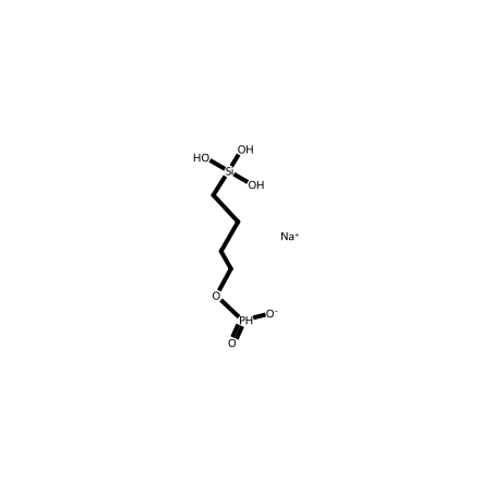 O=[PH]([O-])OCCCC[Si](O)(O)O.[Na+]